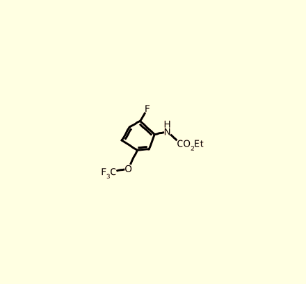 CCOC(=O)Nc1cc(OC(F)(F)F)ccc1F